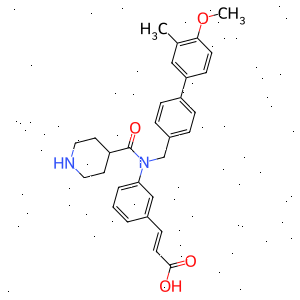 COc1ccc(-c2ccc(CN(C(=O)C3CCNCC3)c3cccc(C=CC(=O)O)c3)cc2)cc1C